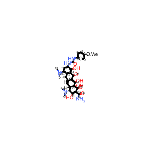 COc1ccc(NC(=O)Nc2cc(N(C)C)c3c(c2O)C(=O)C2=C(O)[C@@]4(O)C(=O)C(C(N)=O)=C(O)[C@H](N(C)C)[C@H]4C[C@@H]2C3)cc1